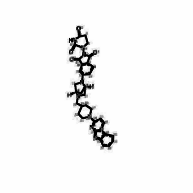 O=C1CCN(N2C(=O)c3ccc(N4C[C@@H]5C[C@H]4CN5CC4CCN(c5ccn6c(n5)nc5ccccc56)CC4)cc3C2=O)C(=O)N1